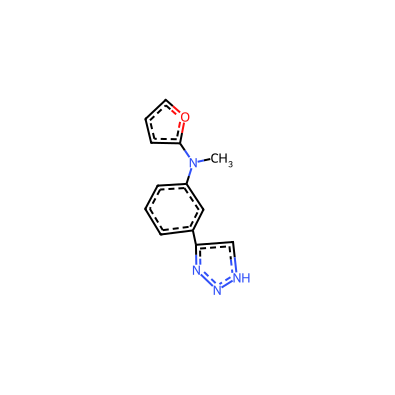 CN(c1cccc(-c2c[nH]nn2)c1)c1ccco1